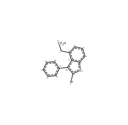 O=C(O)Cc1cccc2oc(Br)c(-c3ccccc3)c12